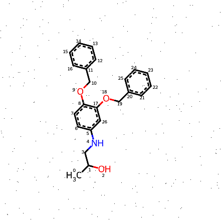 CC(O)CNc1ccc(OCc2ccccc2)c(OCc2ccccc2)c1